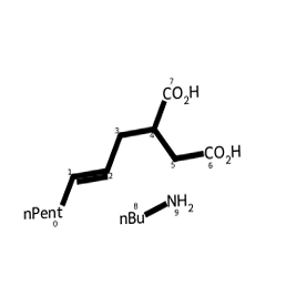 CCCCCC=CCC(CC(=O)O)C(=O)O.CCCCN